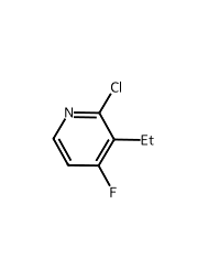 CCc1c(F)ccnc1Cl